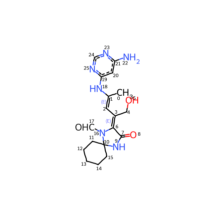 C/C(=C\C(CO)=C1\C(=O)NC2(CCCCC2)N1C=O)Nc1cc(N)ncn1